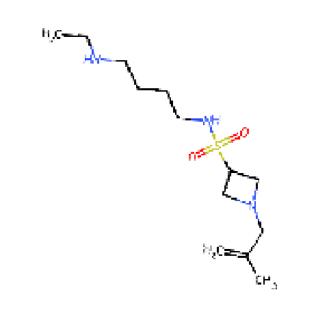 C=C(C)CN1CC(S(=O)(=O)NCCCCNCC)C1